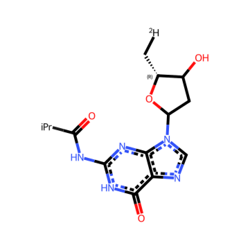 [2H]C[C@H]1OC(n2cnc3c(=O)[nH]c(NC(=O)C(C)C)nc32)CC1O